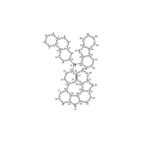 c1ccc2c(c1)ccc1cc(N(c3ccc(-c4cccc5sc6ccc7sc8ccccc8c7c6c45)cc3)c3cccc4c3sc3ccccc34)ccc12